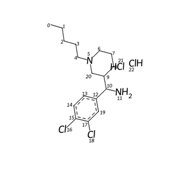 CCCCCN1CCCC(C(N)c2ccc(Cl)c(Cl)c2)C1.Cl.Cl